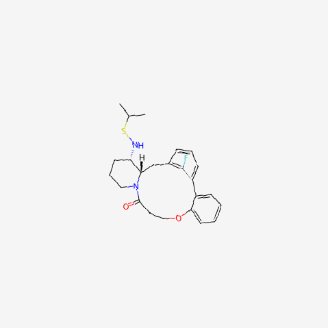 CC(C)SN[C@H]1CCCN2C(=O)CCOc3ccccc3-c3cccc(c3F)C[C@@H]12